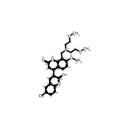 COCCN(CCOC)Cc1c(ON)ccc2c(-c3cc4cc(Cl)ccc4oc3=O)cc(=O)oc12